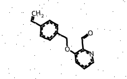 C=Cc1ccc(COc2cccnc2C=O)cc1